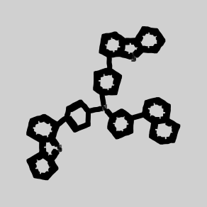 C1=CC(N(c2ccc(-c3cccc4c3sc3ccccc34)cc2)c2cccc(-c3cccc4ccccc34)c2)CC=C1c1cccc2c1sc1ccccc12